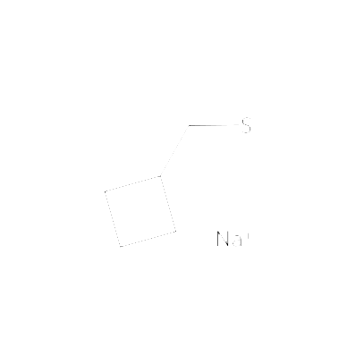 [Na+].[S-]CC1CCC1